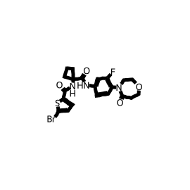 O=C(NC1(C(=O)Nc2ccc(N3CCOCCC3=O)c(F)c2)CCC1)c1ccc(Br)s1